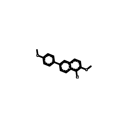 COc1ccc(-c2ccc3c(Cl)c(OC)ccc3c2)cc1